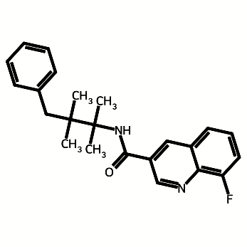 CC(C)(Cc1ccccc1)C(C)(C)NC(=O)c1cnc2c(F)cccc2c1